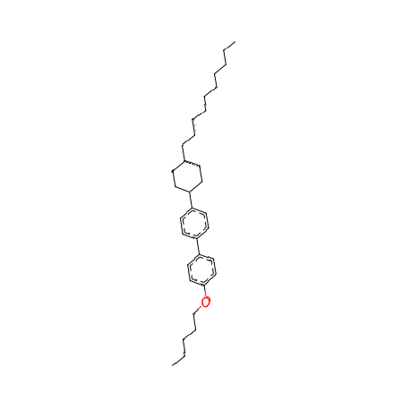 CCCCCCCCCCC1CCC(c2ccc(-c3ccc(OCCCCC)cc3)cc2)CC1